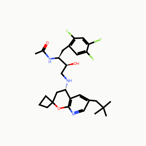 CC(=O)N[C@@H](Cc1cc(F)c(F)cc1F)[C@@H](O)CN[C@H]1CC2(CCC2)Oc2ncc(CC(C)(C)C)cc21